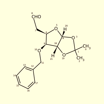 CC1(C)O[C@H]2O[C@H](CC=O)[C@H](OCc3ccccc3)[C@H]2O1